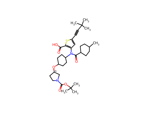 CC1CCC(C(=O)N(c2cc(C#CC(C)(C)C)sc2C(=O)O)C2CCC(O[C@@H]3CCN(C(=O)OC(C)(C)C)C3)CC2)CC1